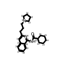 O=C(Nc1nc(CCCN2CCCC2)cc2ccccc12)C1CCCCC1